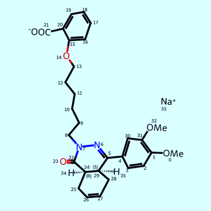 COc1ccc(C2=NN(CCCCCCOc3ccccc3C(=O)[O-])C(=O)[C@@H]3CC=CC[C@H]23)cc1OC.[Na+]